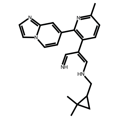 Cc1ccc(/C(C=N)=C/NCC2CC2(C)C)c(-c2ccn3ccnc3c2)n1